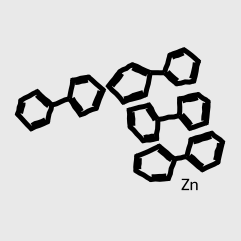 [Zn].c1ccc(-c2ccccc2)cc1.c1ccc(-c2ccccc2)cc1.c1ccc(-c2ccccc2)cc1.c1ccc(-c2ccccc2)cc1